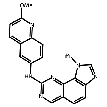 COc1ccc2cc(Nc3ncc4ccc5ncn(C(C)C)c5c4n3)ccc2n1